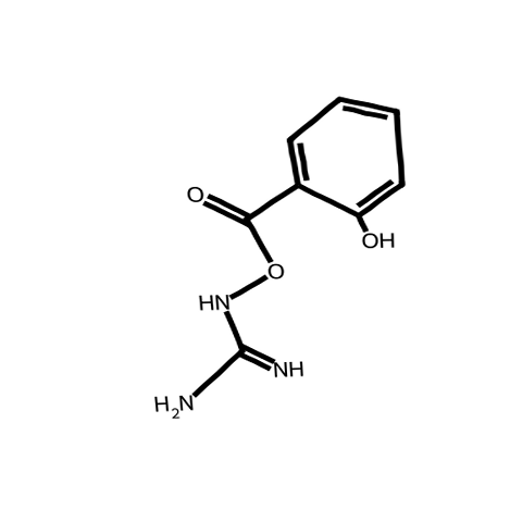 N=C(N)NOC(=O)c1ccccc1O